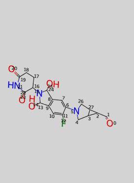 O=CC1C2CN(c3cc4c(cc3F)C(O)N(C3CCC(=O)NC3=O)C4O)CC12